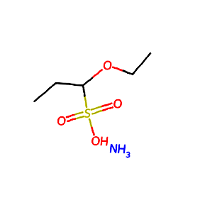 CCOC(CC)S(=O)(=O)O.N